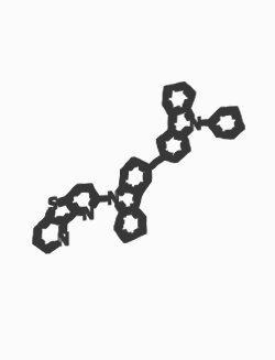 c1ccc(-n2c3ccccc3c3cc(-c4ccc5c(c4)c4ccccc4n5-c4ccc5sc6cccnc6c5n4)ccc32)cc1